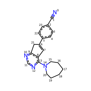 N#Cc1ccc(C2=Cc3c(ncnc3N3CCCCCC3)C2)cc1